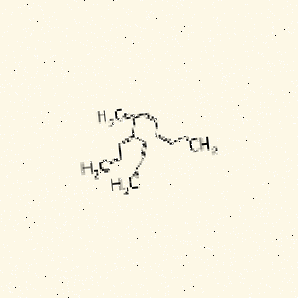 C=C/C=C\C=C/C(=C)C(/C=C\C=C)=C/C=C